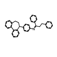 c1ccc(CC/C(=N/c2ccc(C3CCc4ccccc4-c4ccccc43)cc2)c2ccccc2)cc1